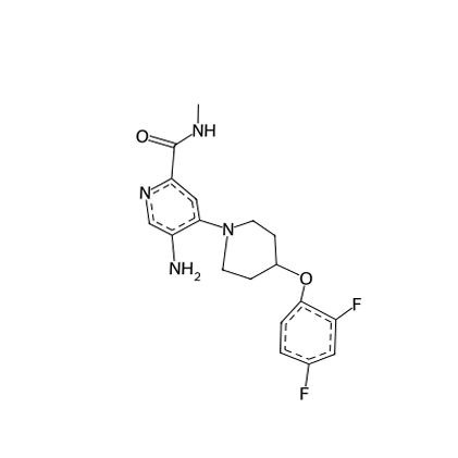 CNC(=O)c1cc(N2CCC(Oc3ccc(F)cc3F)CC2)c(N)cn1